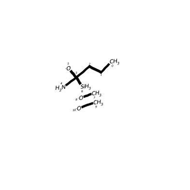 CCCC(N)([O])[SiH3].C[O].C[O]